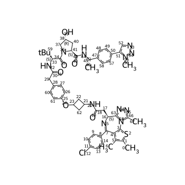 Cc1sc2c(c1C)C(c1ccc(Cl)cc1)=N[C@@H](CC(=O)NC1CC(Oc3ccc(CC(=O)N[C@H](C(=O)N4C[C@H](O)C[C@H]4C(=O)N[C@@H](C)c4ccc(-c5cnnn5C)cc4)C(C)(C)C)cc3)C1)c1nnc(C)n1-2